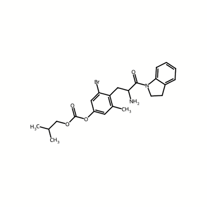 Cc1cc(OC(=O)OCC(C)C)cc(Br)c1CC(N)C(=O)N1CCc2ccccc21